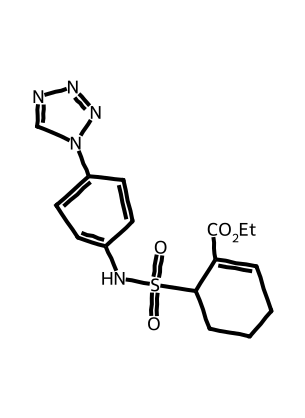 CCOC(=O)C1=CCCCC1S(=O)(=O)Nc1ccc(-n2cnnn2)cc1